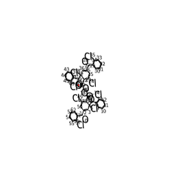 O=C(C1=CC(Cl)(C(=O)c2ccccc2Cl)C(C(=O)OOC(=O)C2C(Cl)=CC(C(=O)c3ccccc3Cl)=CC2(Cl)C(=O)c2ccccc2Cl)C(Cl)=C1)c1ccccc1Cl